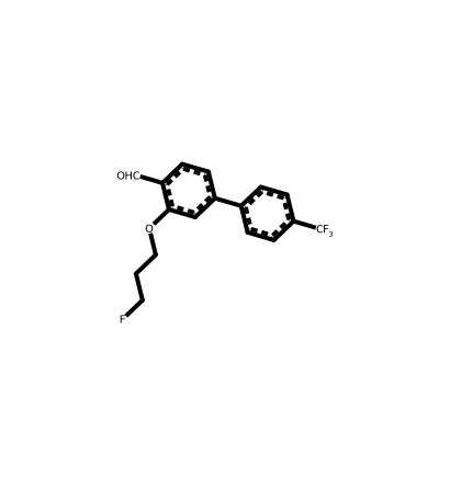 O=Cc1ccc(-c2ccc(C(F)(F)F)cc2)cc1OCCCF